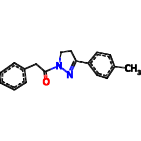 Cc1ccc(C2=NN(C(=O)Cc3ccccc3)CC2)cc1